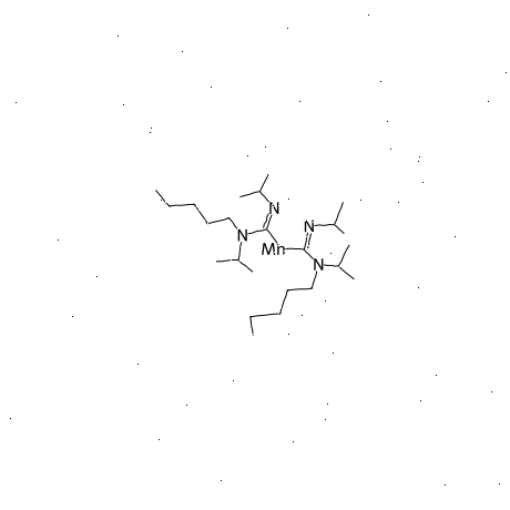 CCCCCN([C](=NC(C)C)[Mn][C](=NC(C)C)N(CCCCC)C(C)C)C(C)C